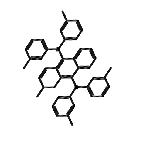 Cc1cccc(N(c2cccc(C)c2)c2c3c(c(N(c4cccc(C)c4)c4cccc(C)c4)c4ccccc24)CC(C)C=C3)c1